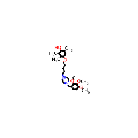 COc1ccc(CN2CCN(CCCCCOc3cc(C)c(O)c(C)c3C)CC2)c(OC)c1OC